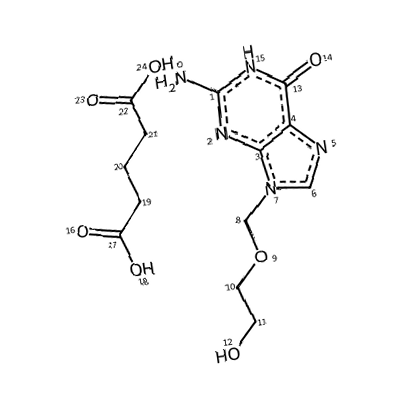 Nc1nc2c(ncn2COCCO)c(=O)[nH]1.O=C(O)CCCC(=O)O